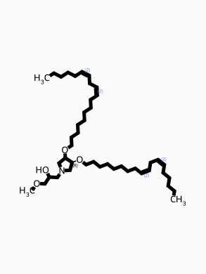 CCCCC/C=C\C/C=C\CCCCCCCCOC1CN(CC(O)COC)C[C@H]1OCCCCCCCC/C=C\C/C=C\CCCCC